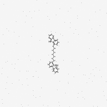 c1ccc2c(c1)[pH]c1c(CCCCCCCCc3cccc4c3[pH]c3ccccc34)cccc12